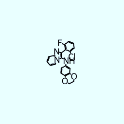 Fc1cccc(Cl)c1-c1nc2ccccn2c1Nc1ccc2c(c1)OCCO2